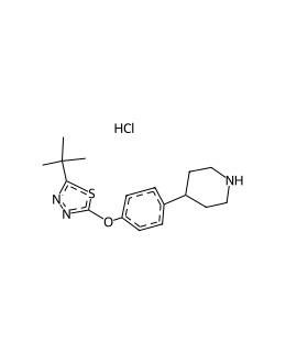 CC(C)(C)c1nnc(Oc2ccc(C3CCNCC3)cc2)s1.Cl